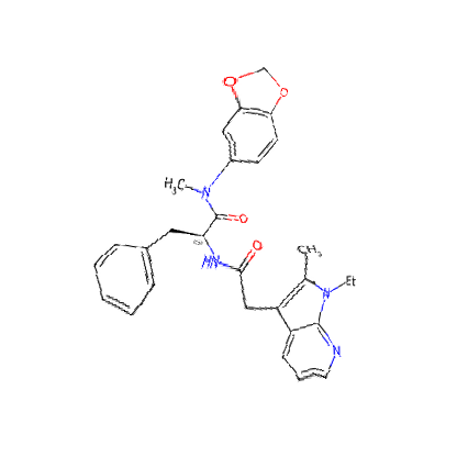 CCn1c(C)c(CC(=O)N[C@@H](Cc2ccccc2)C(=O)N(C)c2ccc3c(c2)OCO3)c2cccnc21